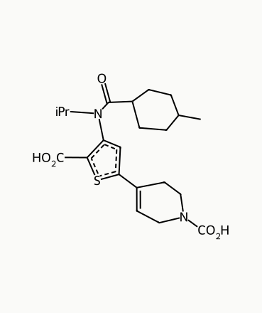 CC1CCC(C(=O)N(c2cc(C3=CCN(C(=O)O)CC3)sc2C(=O)O)C(C)C)CC1